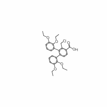 CCOc1cccc(-c2ccc(C(=O)O)c(CCl)c2-c2cccc(OCC)c2OCC)c1OCC